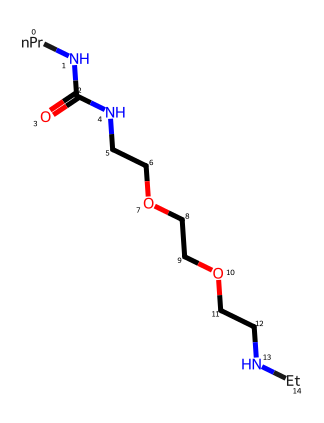 CCCNC(=O)NCCOCCOCCNCC